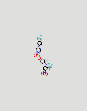 O=C(COC1CCC(Nc2ccc([N+](=O)[O-])cc2C(F)(F)F)CC1)N1CCN(c2ccc(C(F)(F)F)cc2)CC1